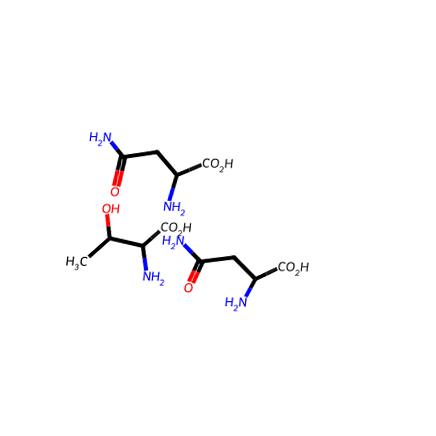 CC(O)C(N)C(=O)O.NC(=O)CC(N)C(=O)O.NC(=O)CC(N)C(=O)O